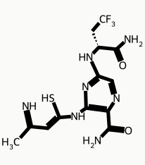 CC(=N)/C=C(\S)Nc1nc(N[C@H](CC(F)(F)F)C(N)=O)cnc1C(N)=O